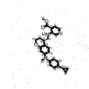 COC(=O)c1ccncc1NC[C@@H]1CCOc2cc(N(C)c3ccc(C4CC4)cc3)ccc21